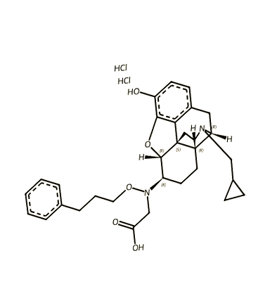 Cl.Cl.O=C(O)CN(OCCCc1ccccc1)[C@@H]1CC[C@H]2[C@H]3Cc4ccc(O)c5c4[C@@]2(CCN3CC2CC2)[C@H]1O5